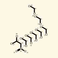 ClCCl.ClCCl.ClCCl.ClCCl.ClCCl.ClCCl.ClCCl.O=[N+]([O-])CC(Cl)Cl